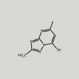 Cc1cc(S)n2nc(C(=O)O)nc2n1